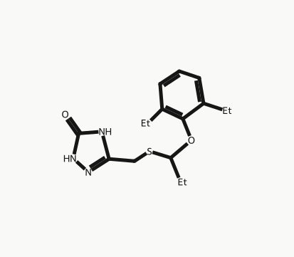 CCc1cccc(CC)c1OC(CC)SCc1n[nH]c(=O)[nH]1